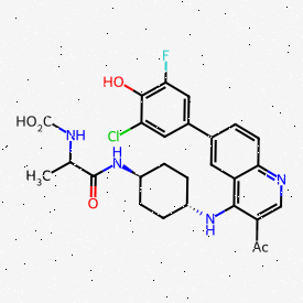 CC(=O)c1cnc2ccc(-c3cc(F)c(O)c(Cl)c3)cc2c1N[C@H]1CC[C@H](NC(=O)C(C)NC(=O)O)CC1